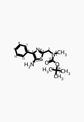 CN(Cc1nc(-c2ccccc2)c(N)s1)C(=O)OC(C)(C)C